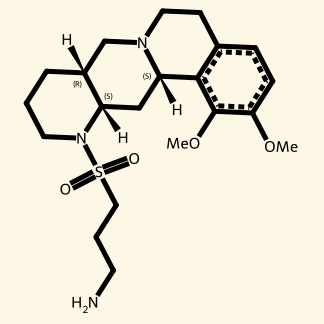 COc1ccc2c(c1OC)[C@@H]1C[C@H]3[C@H](CCCN3S(=O)(=O)CCCN)CN1CC2